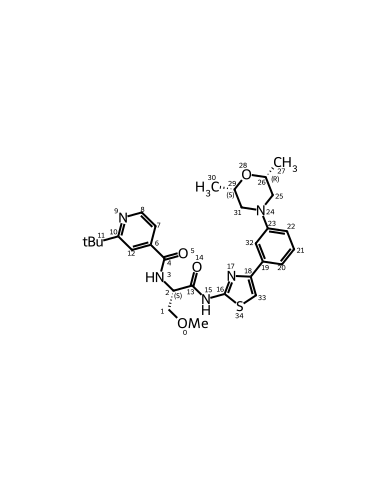 COC[C@H](NC(=O)c1ccnc(C(C)(C)C)c1)C(=O)Nc1nc(-c2cccc(N3C[C@@H](C)O[C@@H](C)C3)c2)cs1